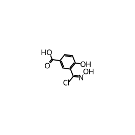 O=C(O)c1ccc(O)c(/C(Cl)=N\O)c1